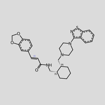 O=C(/C=C/c1ccc2c(c1)OCO2)NC[C@H]1CCCC[C@H]1CN1CCN(c2nsc3ccccc23)CC1